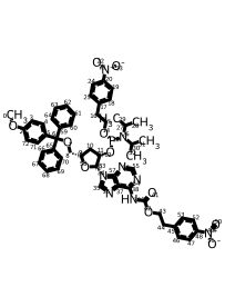 COc1ccc(C(OC[C@@H]2C[C@@H](OP(OCCc3ccc([N+](=O)[O-])cc3)N(C(C)C)C(C)C)[C@H](n3cnc4c(NC(=O)OCCc5ccc([N+](=O)[O-])cc5)ncnc43)O2)(c2ccccc2)c2ccccc2)cc1